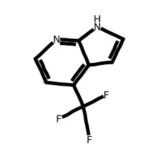 FC(F)(F)c1[c]cnc2[nH]ccc12